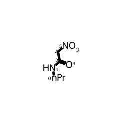 CCCNC(=O)C[N+](=O)[O-]